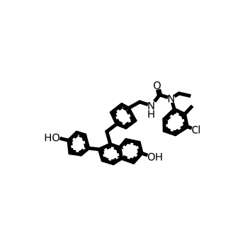 CCN(C(=O)NCc1ccc(Cc2c(-c3ccc(O)cc3)ccc3cc(O)ccc23)cc1)c1cccc(Cl)c1C